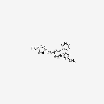 Cn1cc(-c2ccncc2)c(-c2ccc(C#Cc3ccc(C(F)(F)F)cn3)cc2)n1